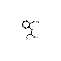 CCCCC(CC(C)(C)C)Oc1ccccc1C=O